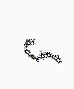 Cc1cc(/C=C/C(=O)N2CCN(Cc3ccc(CCOc4ccc(OC(C)C)cc4)cc3)CC2)cc(C)c1Oc1ccc(OCc2ccccc2Cl)cn1